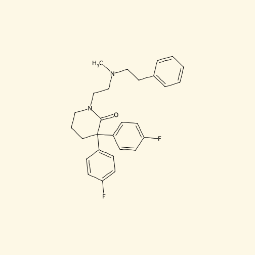 CN(CCc1ccccc1)CCN1CCCC(c2ccc(F)cc2)(c2ccc(F)cc2)C1=O